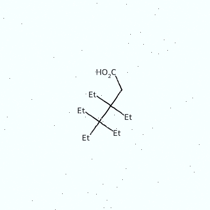 CCC(CC)(CC)C(CC)(CC)CC(=O)O